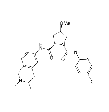 CO[C@@H]1C[C@H](C(=O)Nc2ccc3c(c2)CC(C)N(C)C3)N(C(=O)Nc2ccc(Cl)cn2)C1